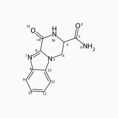 NC(=O)C1Cn2c(nc3ccccc32)C(=O)N1